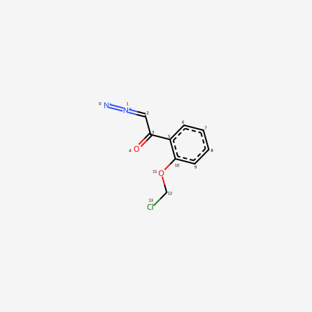 [N-]=[N+]=CC(=O)c1ccccc1OCCl